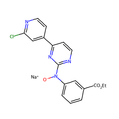 CCOC(=O)c1cccc(N([O-])c2nccc(-c3ccnc(Cl)c3)n2)c1.[Na+]